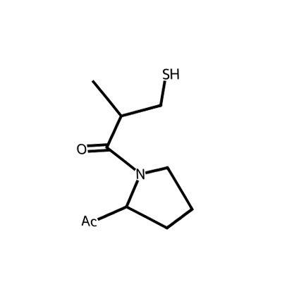 CC(=O)C1CCCN1C(=O)C(C)CS